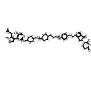 Cn1ncc(-c2nc(NC3CCC(NCC4CCN(CCNCc5ccc(OCc6scc7c6CN([C@H]6CCC(=O)NC6=O)C7=O)cc5)CC4)CC3)ncc2Cl)c1CC1CC1